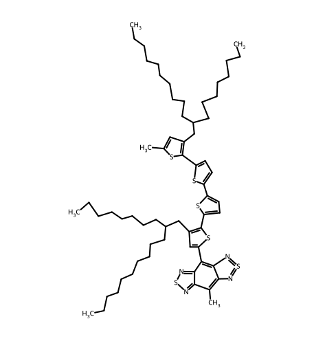 CCCCCCCCCCC(CCCCCCCC)Cc1cc(C)sc1-c1ccc(-c2ccc(-c3sc(-c4c5c(c(C)c6nsnc46)N=S=N5)cc3CC(CCCCCCCC)CCCCCCCCCC)s2)s1